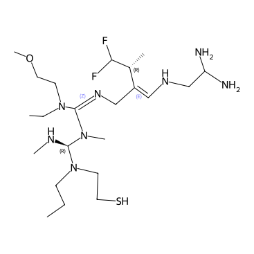 CCCN(CCS)[C@@H](NC)N(C)/C(=N\C/C(=C/NCC(N)N)[C@@H](C)C(F)F)N(CC)CCOC